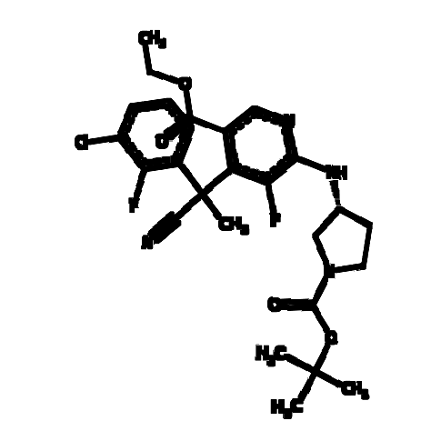 CCOC(=O)c1cnc(N[C@@H]2CCN(C(=O)OC(C)(C)C)C2)c(F)c1C(C)(C#N)c1cccc(Cl)c1F